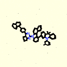 CC1C=C(N2c3ccccc3C(C)(C)c3ccc(-c4cccc5c4c4c6ccccc6ccc4n5-c4nc(-c5ccc(-c6cccc7ccccc67)cc5)c5ccccc5n4)cc32)C=CC1